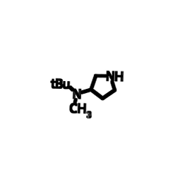 CN(C1CCNC1)C(C)(C)C